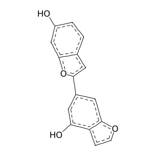 Oc1ccc2cc(-c3cc(O)c4ccoc4c3)oc2c1